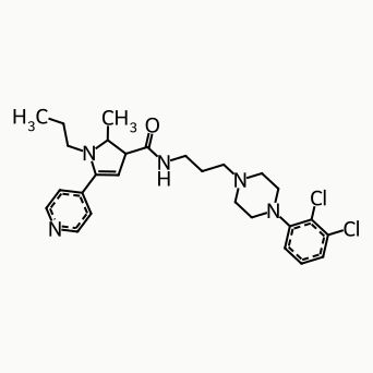 CCCN1C(c2ccncc2)=CC(C(=O)NCCCN2CCN(c3cccc(Cl)c3Cl)CC2)C1C